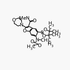 CNC(=O)c1c(N2CCOCC2)oc2cc(N(C)S(C)(=O)=O)c(B3OC(C)(C)C(C)(C)O3)cc12